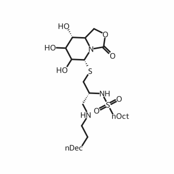 CCCCCCCCCCCCNC[C@H](CS[C@@H]1C(O)C(O)[C@H](O)C2COC(=O)N21)NS(=O)(=O)CCCCCCCC